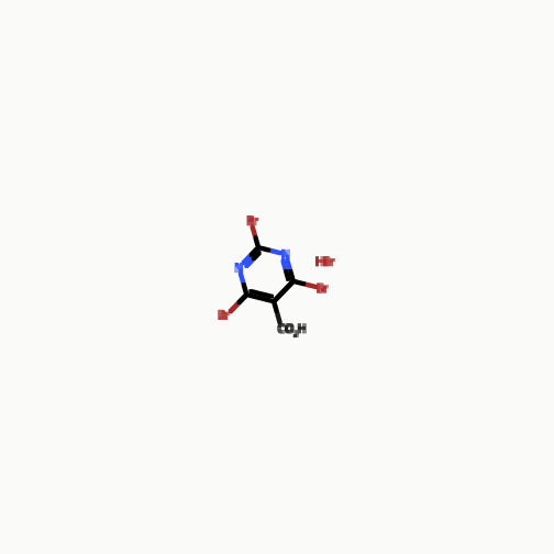 Br.O=C(O)c1c(Br)nc(Br)nc1Br